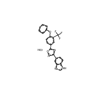 Cl.FC(F)(F)c1cc(-c2nc(-c3ccc4[nH]cnc4c3)no2)ccc1Oc1ccccc1